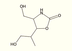 CC(CO)C1OC(=O)NC1CO